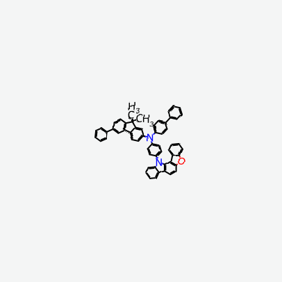 CC1(C)c2ccc(-c3ccccc3)cc2-c2ccc(N(c3ccc(-c4ccccc4)cc3)c3ccc(-n4c5ccccc5c5ccc6oc7ccccc7c6c54)cc3)cc21